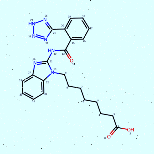 O=C(O)CCCCCCCn1c(NC(=O)c2ccccc2-c2nn[nH]n2)nc2ccccc21